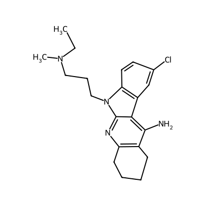 CCN(C)CCCn1c2ccc(Cl)cc2c2c(N)c3c(nc21)CCCC3